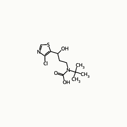 CC(C)(C)N(CCC(O)c1scnc1Cl)C(=O)O